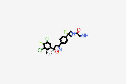 N=CC(=O)N1CC(F)(c2ccc(C3=NOC(c4cc(Cl)c(F)c(Cl)c4)(C(F)(F)F)C3)cc2)C1